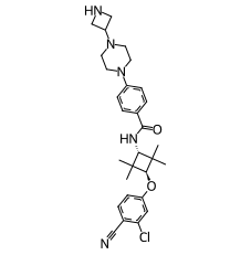 CC1(C)[C@H](NC(=O)c2ccc(N3CCN(C4CNC4)CC3)cc2)C(C)(C)[C@H]1Oc1ccc(C#N)c(Cl)c1